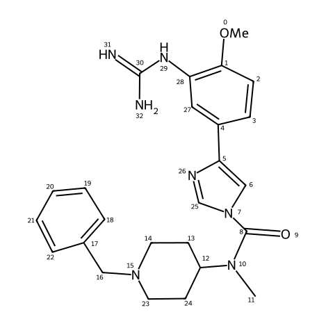 COc1ccc(-c2cn(C(=O)N(C)C3CCN(Cc4ccccc4)CC3)cn2)cc1NC(=N)N